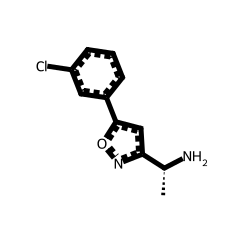 C[C@@H](N)c1cc(-c2cccc(Cl)c2)on1